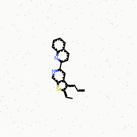 C=C/C=c1\c(=C/C)sc2cnc(-c3ccc4ccccc4n3)cc12